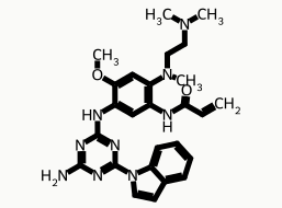 C=CC(=O)Nc1cc(Nc2nc(N)nc(-n3ccc4ccccc43)n2)c(OC)cc1N(C)CCN(C)C